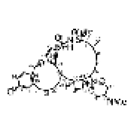 CN[C@H]1CO[C@H]([C@@H]2CCC[C@H](C)[C@@H](C)S(=O)(=O)NC(=O)c3ccc4c(c3)N(CCCCc3cc(Cl)ccc3CO4)C[C@@H]3CC[C@H]32)OC1